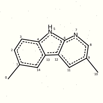 Cc1ccc2[nH]c3ncc(C)cc3c2c1